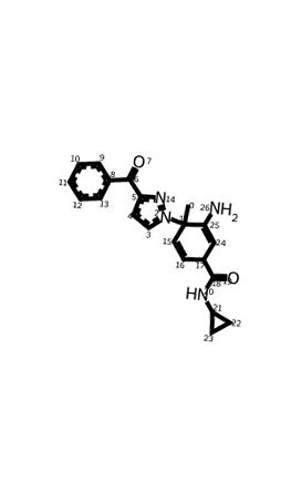 CC1(n2ccc(C(=O)c3ccccc3)n2)C=CC(C(=O)NC2CC2)C=C1N